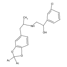 CC(=O)C1(C(C)=O)Oc2ccc(CC(C)NCC(O)c3cccc(Cl)c3)cc2O1